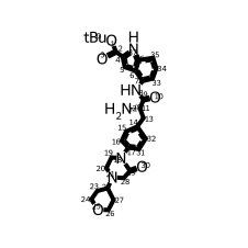 CC(C)(C)OC(=O)c1cc2c(NC(=O)[C@@H](N)Cc3ccc(N4CCN(C5CCOCC5)CC4=O)cc3)cccc2[nH]1